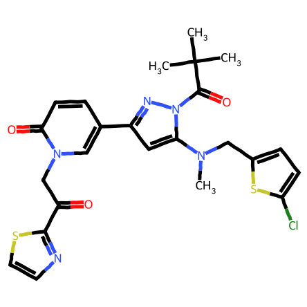 CN(Cc1ccc(Cl)s1)c1cc(-c2ccc(=O)n(CC(=O)c3nccs3)c2)nn1C(=O)C(C)(C)C